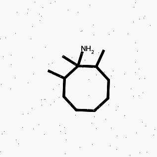 CC1CCCCCC(C)C1(C)N